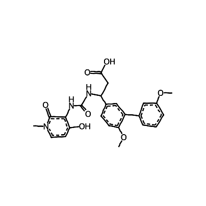 COc1cccc(-c2cc(C(CC(=O)O)NC(=O)Nc3c(O)ccn(C)c3=O)ccc2OC)c1